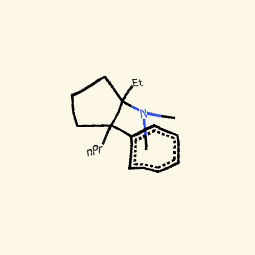 CCCC1(c2ccccc2)CCCC1(CC)N(C)C